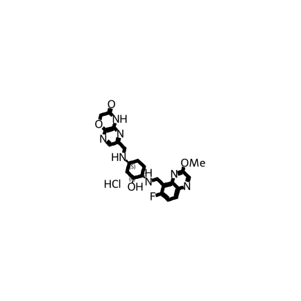 COc1cnc2ccc(F)c(CN[C@H]3CC[C@H](NCc4cnc5c(n4)NC(=O)CO5)C[C@H]3O)c2n1.Cl